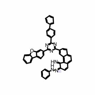 N=C1/C(=N\Nc2ccccc2)C=Cc2ccc3ccc(-c4nc(-c5ccc(-c6ccccc6)cc5)nc(-c5ccc6c(c5)oc5ccccc56)n4)cc3c21